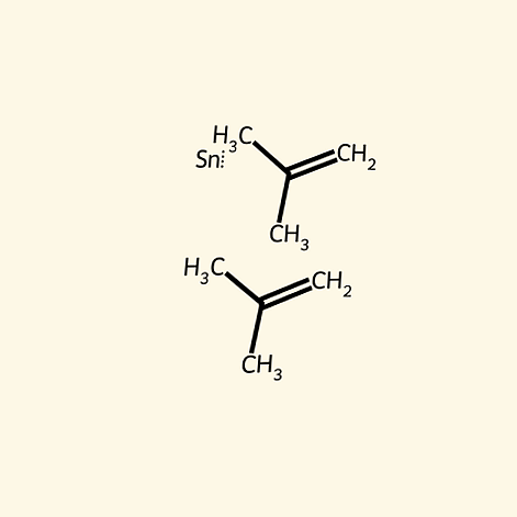 C=C(C)C.C=C(C)C.[Sn]